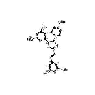 CC(C)(C)c1ccc(N2N=C(C=Cc3cc(C(C)(C)C)cc(C(C)(C)C)c3)CC2c2cc(C(C)(C)C)cc(C(C)(C)C)c2)cc1